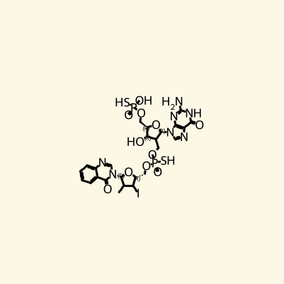 CC1C(I)[C@@H](COP(=O)(S)OCC2[C@@H](O)[C@@H](COP(=O)(O)S)O[C@H]2n2cnc3c(=O)[nH]c(N)nc32)O[C@H]1n1cnc2ccccc2c1=O